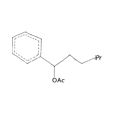 CC(=O)OC(CCC(C)C)c1ccccc1